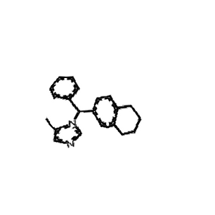 Cc1cncn1C(c1ccccc1)c1ccc2c(c1)CCCC2